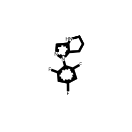 Fc1cc(F)c(-n2ncc3c2CCCN3)c(F)c1